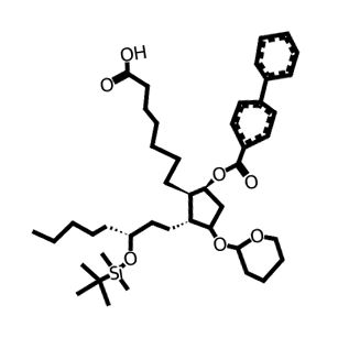 CCCCC[C@H](CC[C@H]1C(OC2CCCCO2)C[C@H](OC(=O)c2ccc(-c3ccccc3)cc2)[C@@H]1CCCCCCC(=O)O)O[Si](C)(C)C(C)(C)C